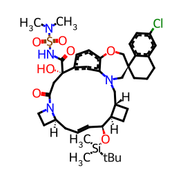 CN(C)S(=O)(=O)NC(=O)[C@]1(O)CC(=O)N2CC[C@@H]2C/C=C/[C@H](O[Si](C)(C)C(C)(C)C)[C@@H]2CC[C@H]2CN2C[C@@]3(CCCc4cc(Cl)ccc43)COc3ccc1cc32